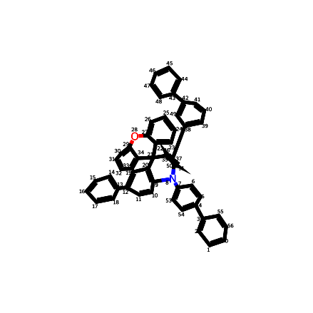 c1ccc(-c2ccc(N3c4ccc(-c5ccccc5)cc4C4(c5ccccc5Oc5ccccc54)c4cc(-c5cccc(-c6ccccc6)c5)ccc43)cc2)cc1